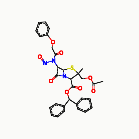 CC(=O)OCC1(C)SC2C(N(N=O)C(=O)COc3ccccc3)C(=O)N2C1C(=O)OC(c1ccccc1)c1ccccc1